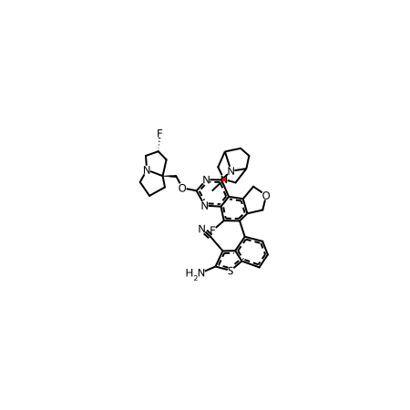 CN1CC2CCC(C1)N2c1nc(OC[C@@]23CCCN2C[C@H](F)C3)nc2c(F)c(-c3cccc4sc(N)c(C#N)c34)c3c(c12)COC3